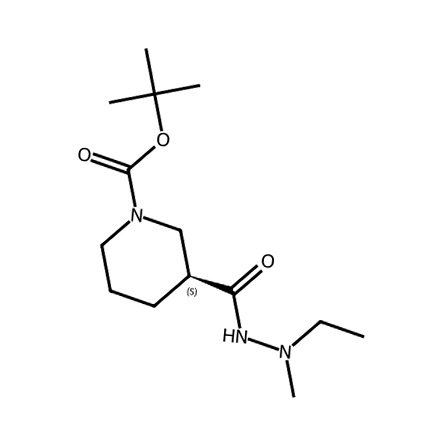 CCN(C)NC(=O)[C@H]1CCCN(C(=O)OC(C)(C)C)C1